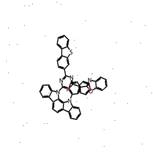 c1ccc(-c2nc(-c3ccc4c(c3)sc3ccccc34)nc(-n3c4ccccc4c4ccc5c6ccccc6n(-c6cccc(-c7nc8ccccc8o7)c6)c5c43)n2)cc1